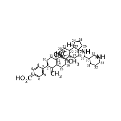 CC1C(c2ccc(C(=O)O)cc2)=CCC2(C)C1CCC1(C)C2CCC2[C@H]3CCC[C@]3(NCC3CCCNC3)CC[C@]21C